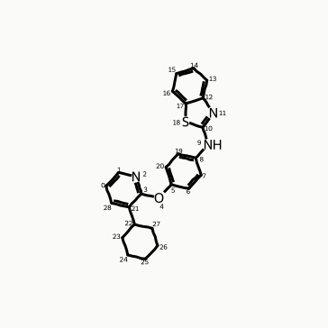 c1cnc(Oc2ccc(Nc3nc4ccccc4s3)cc2)c(C2CCCCC2)c1